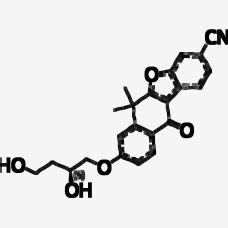 CC1(C)c2cc(OC[C@@H](O)CCO)ccc2C(=O)c2c1oc1cc(C#N)ccc21